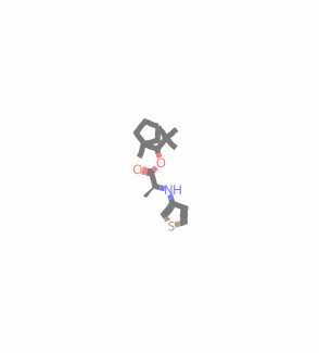 C[C@H](Nc1ccsc1)C(=O)OC1C2(C)CCC(C2)C1(C)C